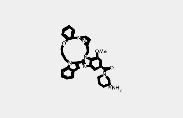 COc1cc(C(=O)N2CCC[C@@H](N)C2)cc2nc3n(c12)Cc1ccn(n1)-c1ccccc1OCCCn1c-3cc2ccccc21